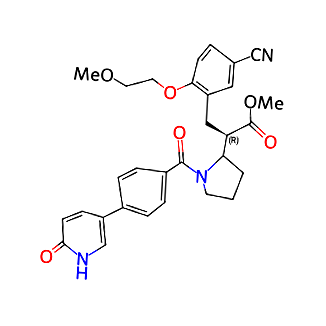 COCCOc1ccc(C#N)cc1C[C@@H](C(=O)OC)C1CCCN1C(=O)c1ccc(-c2ccc(=O)[nH]c2)cc1